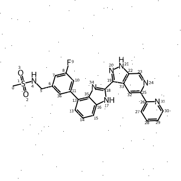 CS(=O)(=O)NCc1cc(F)cc(-c2cccc3[nH]c(-c4n[nH]c5cnc(-c6ccccn6)cc45)nc23)c1